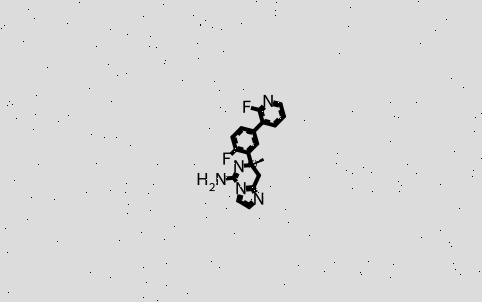 C[C@@]1(c2cc(-c3cccnc3F)ccc2F)Cc2nccn2C(N)=N1